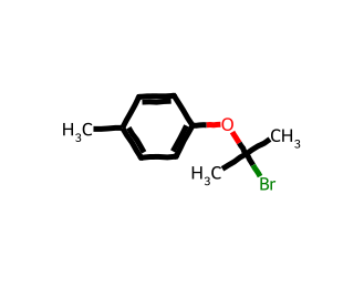 Cc1ccc(OC(C)(C)Br)cc1